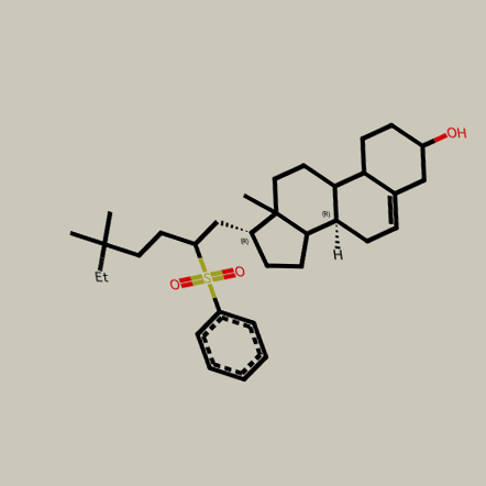 CCC(C)(C)CCC(C[C@H]1CCC2[C@@H]3CC=C4CC(O)CCC4C3CCC21C)S(=O)(=O)c1ccccc1